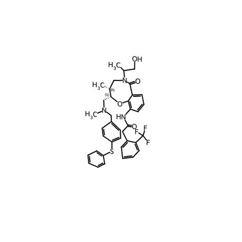 CC(CO)N1C[C@@H](C)[C@@H](CN(C)Cc2ccc(Sc3ccccc3)cc2)Oc2c(NC(=O)Cc3ccccc3C(F)(F)F)cccc2C1=O